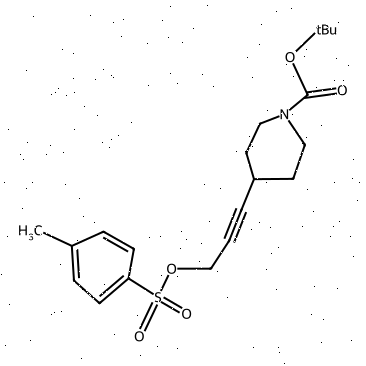 Cc1ccc(S(=O)(=O)OCC#CC2CCN(C(=O)OC(C)(C)C)CC2)cc1